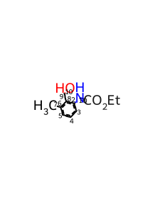 CCOC(=O)Nc1cccc(C)c1CO